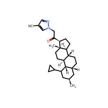 C[C@H]1CC(C2CC2)[C@H]2[C@H](CC[C@@H]3[C@@H]2CC[C@]2(C)[C@@H](C(=O)Cn4cc(C#N)cn4)CC[C@@H]32)C1